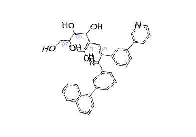 C/C(O)=C(/C=C(\C(=N)c1cccc(-c2cccc3ccccc23)c1)c1cccc(-c2cccnc2)c1)C(\O)=C(O)/C(O)=C/O